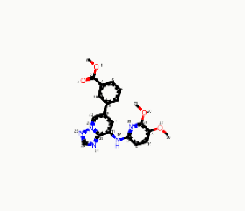 COC(=O)c1cccc(-c2cc(Nc3ccc(OC)c(OC)n3)c3ncnn3c2)c1